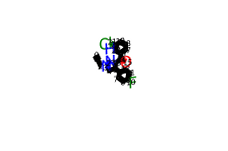 C#CCN1CC(c2ccc(F)cc2)C(C(=O)c2cccc(Cl)c2)N1